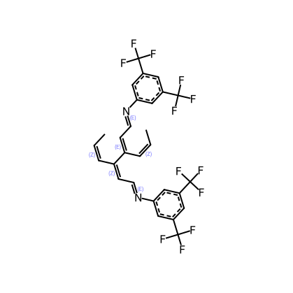 C\C=C/C(=C/C=N/c1cc(C(F)(F)F)cc(C(F)(F)F)c1)C(/C=C\C)=C/C=N/c1cc(C(F)(F)F)cc(C(F)(F)F)c1